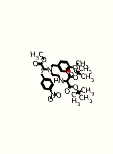 COC(=O)[C@@H](Cc1ccc([N+](=O)[O-])cc1)N(CCNC(C(=O)OC(C)(C)C)C(=O)OC(C)(C)C)Cc1ccc(OC)cc1